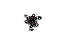 c1ccc(-c2cc(-c3ccccc3)nc(N3B4N(B5N(B6N4c4nccnc4N6c4nc(-c6ccccc6)cc(-c6ccccc6)n4)c4nccnc4N5c4nc(-c5ccccc5)cc(-c5ccccc5)n4)c4nccnc43)n2)cc1